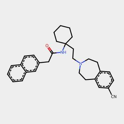 N#Cc1ccc2c(c1)CCN(CCC1(NC(=O)Cc3ccc4ccccc4c3)CCCCC1)CC2